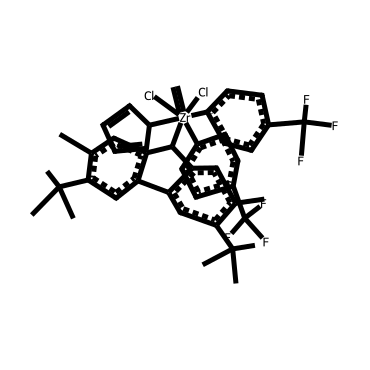 [CH2]=[Zr]([Cl])([Cl])([c]1ccc(C(F)(F)F)cc1)([c]1ccc(C(F)(F)F)cc1)([CH]1C=CC=C1)[CH]1c2cc(C)c(C(C)(C)C)cc2-c2cc(C(C)(C)C)c(C)cc21